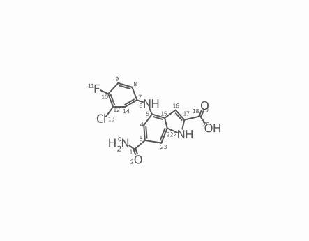 NC(=O)c1cc(Nc2ccc(F)c(Cl)c2)c2cc(C(=O)O)[nH]c2c1